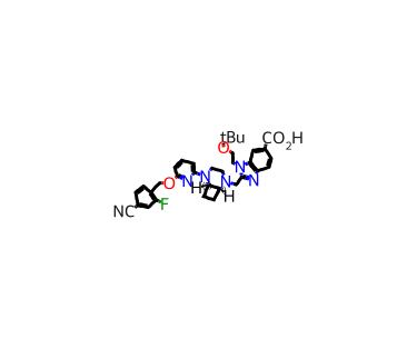 CC(C)(C)OCCn1c(CN2CCN(c3cccc(OCc4ccc(C#N)cc4F)n3)[C@H]3CC[C@H]32)nc2ccc(C(=O)O)cc21